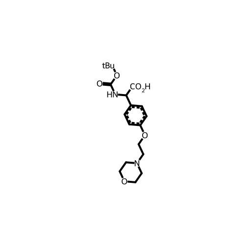 CC(C)(C)OC(=O)NC(C(=O)O)c1ccc(OCCN2CCOCC2)cc1